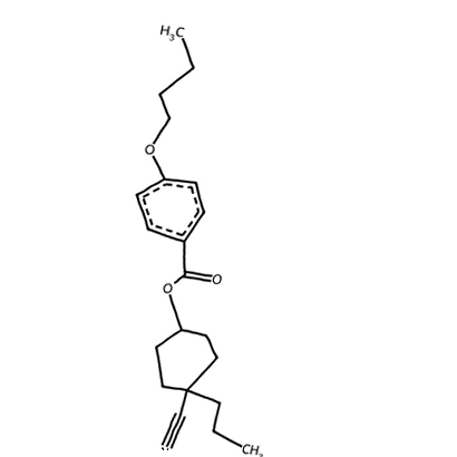 CCCCOc1ccc(C(=O)OC2CCC(C#N)(CCC)CC2)cc1